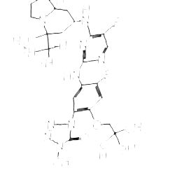 [2H]C([2H])([2H])C1(C)C[C@H](Nc2nc(Nc3cc(-n4nnn(C)c4=O)c(OCC(C)(C)O)cc3F)ncc2F)C[C@@H]2CCCN21